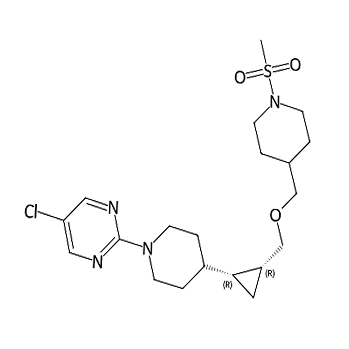 CS(=O)(=O)N1CCC(COC[C@@H]2C[C@@H]2C2CCN(c3ncc(Cl)cn3)CC2)CC1